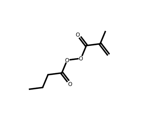 C=C(C)C(=O)OOC(=O)CCC